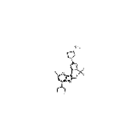 CCC(CC)c1cc(C)nc2c(-c3sc(N4CC[C@H](N)C4)nc3C(F)(F)F)c(C)nn12